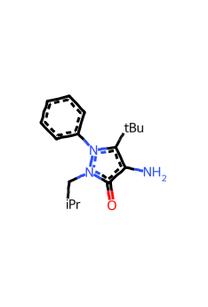 CC(C)Cn1c(=O)c(N)c(C(C)(C)C)n1-c1ccccc1